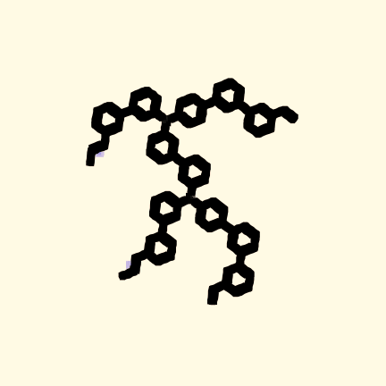 C=Cc1cccc(-c2cccc(-c3ccc(N(c4cccc(-c5cccc(/C=C/C)c5)c4)c4cccc(-c5cccc(N(c6ccc(-c7cccc(-c8cccc(C=C)c8)c7)cc6)c6cccc(-c7cccc(/C=C/C)c7)c6)c5)c4)cc3)c2)c1